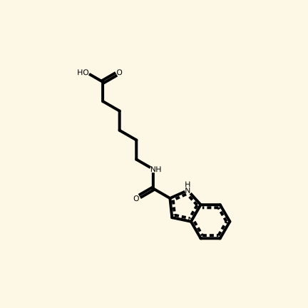 O=C(O)CCCCCNC(=O)c1cc2ccccc2[nH]1